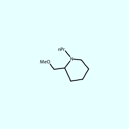 CCCN1CCCCC1COC